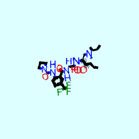 CCC[C@H](O)[C@H](CN(C)C(C)CC)NC(=O)CNC(=O)c1cc(C(F)(F)F)ccc1NC(=O)N1CCC1